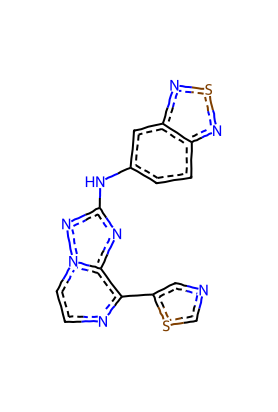 c1cn2nc(Nc3ccc4nsnc4c3)nc2c(-c2cncs2)n1